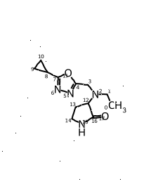 CCN(Cc1nnc(C2CC2)o1)C1CCNC1=O